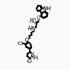 O=C1CCC(c2ccc(OCCCCCNCC(O)COc3cccc4[nH]c5ccccc5c34)c(Cl)c2)=NN1